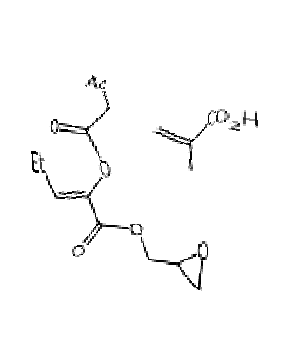 C=C(C)C(=O)O.CCC=C(OC(=O)CC(C)=O)C(=O)OCC1CO1